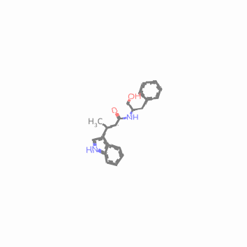 CC([CH]C(=O)NC(CO)Cc1ccccc1)c1c[nH]c2ccccc12